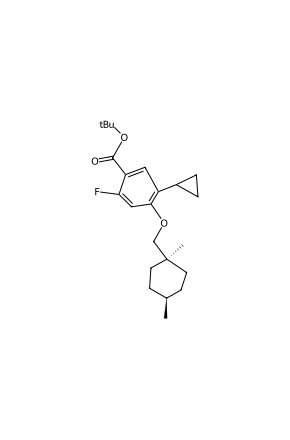 CC(C)(C)OC(=O)c1cc(C2CC2)c(OC[C@]2(C)CC[C@H](C)CC2)cc1F